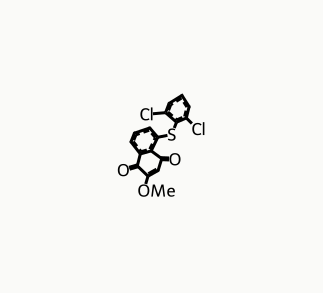 COC1=CC(=O)c2c(Sc3c(Cl)cccc3Cl)cccc2C1=O